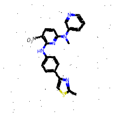 Cc1nc(-c2ccc(Nc3nc(N(C)c4cccnc4)ccc3[N+](=O)[O-])cc2)cs1